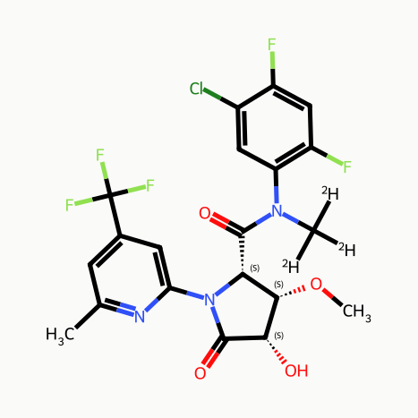 [2H]C([2H])([2H])N(C(=O)[C@@H]1[C@H](OC)[C@H](O)C(=O)N1c1cc(C(F)(F)F)cc(C)n1)c1cc(Cl)c(F)cc1F